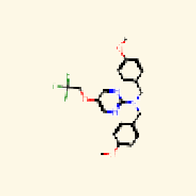 COc1ccc(CN(Cc2ccc(OC)cc2)c2ncc(OCC(F)(F)F)cn2)cc1